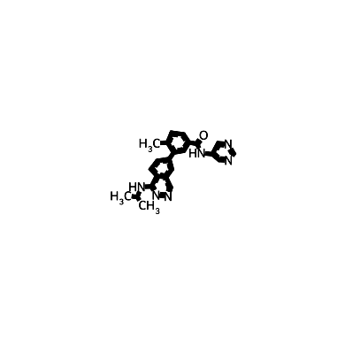 Cc1ccc(C(=O)Nc2cncnc2)cc1-c1ccc2c(NC(C)C)nncc2c1